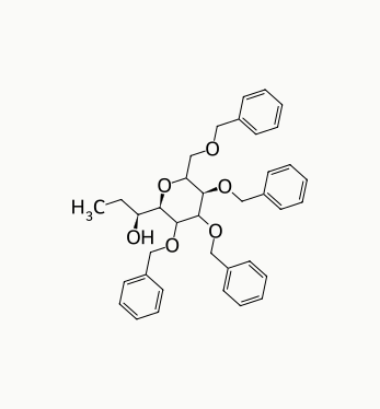 CC[C@H](O)[C@H]1OC(COCc2ccccc2)[C@@H](OCc2ccccc2)C(OCc2ccccc2)C1OCc1ccccc1